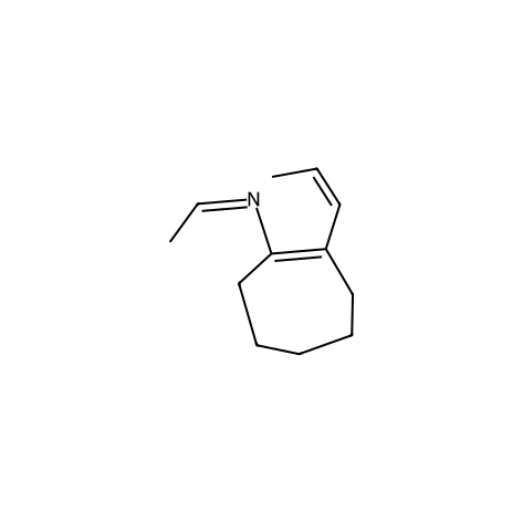 C/C=C\C1=C(/N=C\C)CCCCC1